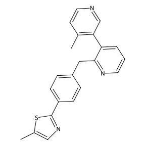 Cc1cnc(-c2ccc(Cc3ncccc3-c3cnccc3C)cc2)s1